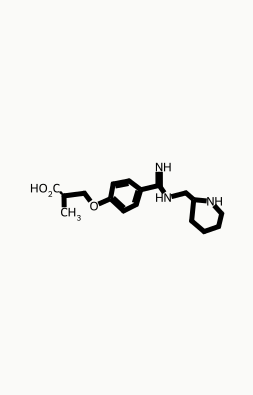 C[C@@H](COc1ccc(C(=N)NCC2CCCCN2)cc1)C(=O)O